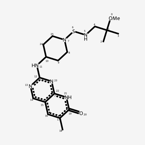 COC(C)(C)CNSN1CCC(Nc2ncc3cc(C)c(=O)[nH]c3n2)CC1